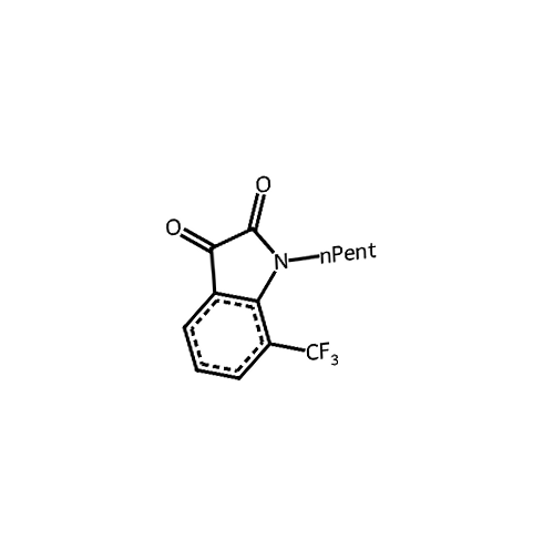 CCCCCN1C(=O)C(=O)c2cccc(C(F)(F)F)c21